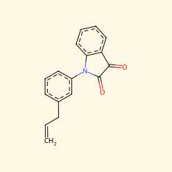 C=CCc1cccc(N2C(=O)C(=O)c3ccccc32)c1